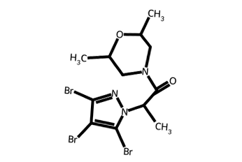 CC1CN(C(=O)C(C)n2nc(Br)c(Br)c2Br)CC(C)O1